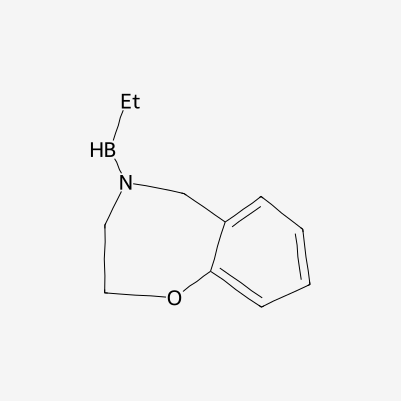 CCBN1CCOc2ccccc2C1